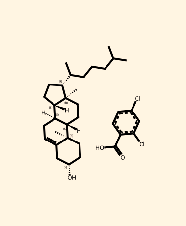 CC(C)CCCC(C)[C@H]1CC[C@H]2[C@@H]3CC=C4C[C@@H](O)CC[C@]4(C)[C@H]3CC[C@]12C.O=C(O)c1ccc(Cl)cc1Cl